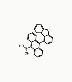 OB(O)c1c2ccccc2c(-c2cccc3oc4ccccc4c23)c2ccccc12